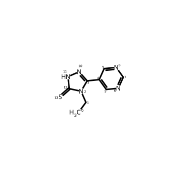 CCn1c(-c2cncnc2)n[nH]c1=S